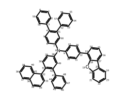 c1ccc(-c2ccc(N(c3ccc(-c4cccc5c4oc4ccccc45)cc3)c3ccc(-c4cccc5ccccc45)c(-c4ccccc4)c3)cc2-c2ccccc2)cc1